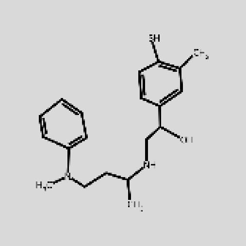 Cc1cc(C(O)CNC(C)CCN(C)c2ccccc2)ccc1S